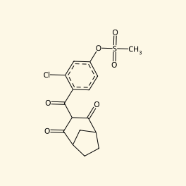 CS(=O)(=O)Oc1ccc(C(=O)C2C(=O)C3CCC(C3)C2=O)c(Cl)c1